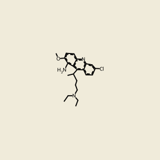 CCN(CC)CCCC(C)c1c2ccc(Cl)cc2nc2ccc(OC)c(N)c12